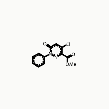 COC(=O)c1nn(-c2ccccc2)c(=O)cc1Cl